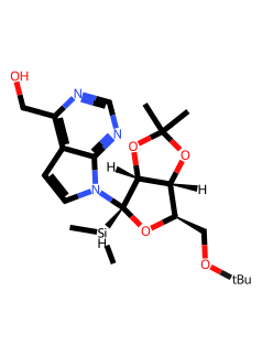 C[SiH](C)[C@]1(n2ccc3c(CO)ncnc32)O[C@H](COC(C)(C)C)[C@H]2OC(C)(C)O[C@H]21